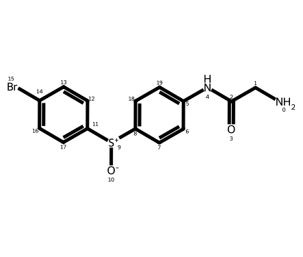 NCC(=O)Nc1ccc([S+]([O-])c2ccc(Br)cc2)cc1